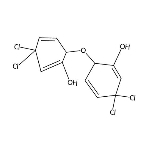 OC1=CC(Cl)(Cl)C=CC1OC1C=CC(Cl)(Cl)C=C1O